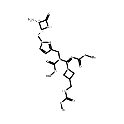 CC(C)(C)OC(=O)N=C(N1CC(CNC(=O)OC(C)(C)C)C1)N(Cc1cnn(C[C@H]2NC(=O)[C@H]2N)n1)C(=O)OC(C)(C)C